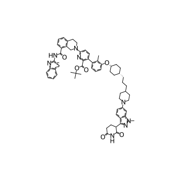 Cc1c(O[C@H]2CC[C@@H](CCCC3CCN(c4ccc5c(C6CCC(=O)NC6=O)nn(C)c5c4)CC3)CC2)cccc1-c1ccc(N2CCc3cccc(C(=O)Nc4nc5ccccc5s4)c3C2)nc1C(=O)OC(C)(C)C